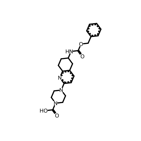 O=C(NC1CCc2nc(N3CCN(C(=O)O)CC3)ccc2C1)OCc1ccccc1